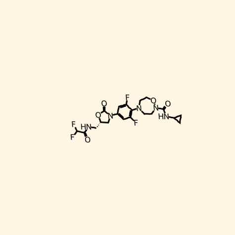 O=C(NC[C@H]1CN(c2cc(F)c(N3CCON(C(=O)NC4CC4)CC3)c(F)c2)C(=O)O1)C(F)F